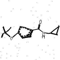 CC(C)(C)Oc1ccc(C(=O)NC2CC2)cc1